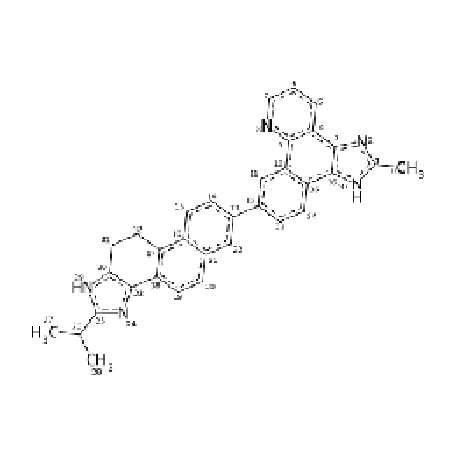 Cc1nc2c3cccnc3c3cc(-c4ccc5c6c(ccc5c4)-c4nc(C(C)C)[nH]c4CC6)ccc3c2[nH]1